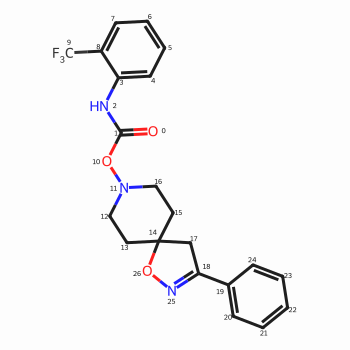 O=C(Nc1ccccc1C(F)(F)F)ON1CCC2(CC1)CC(c1ccccc1)=NO2